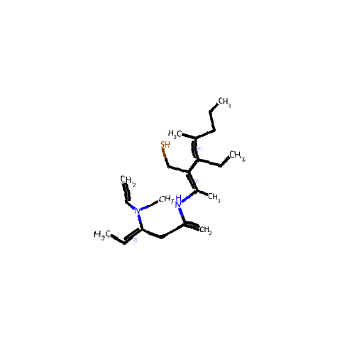 C=CN(C)/C(=C\C)CC(=C)N/C(C)=C(CS)/C(CC)=C(\C)CCC